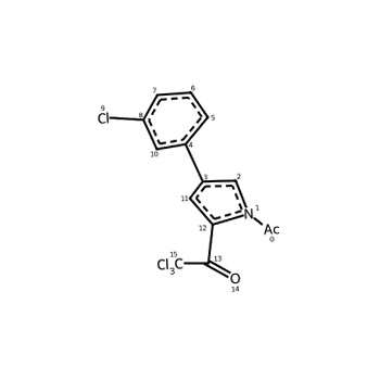 CC(=O)n1cc(-c2cccc(Cl)c2)cc1C(=O)C(Cl)(Cl)Cl